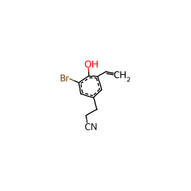 C=Cc1cc(CCC#N)cc(Br)c1O